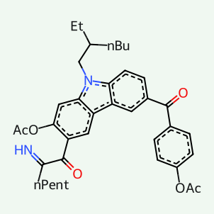 CCCCCC(=N)C(=O)c1cc2c3cc(C(=O)c4ccc(OC(C)=O)cc4)ccc3n(CC(CC)CCCC)c2cc1OC(C)=O